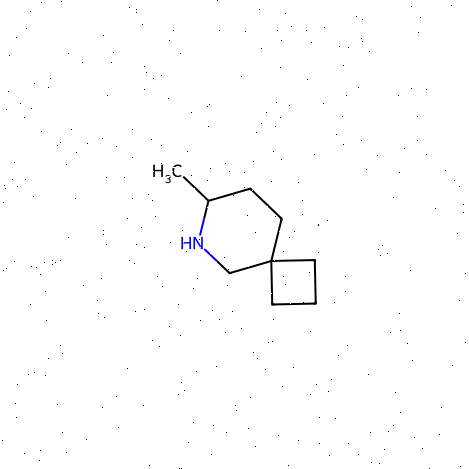 CC1CCC2(CCC2)CN1